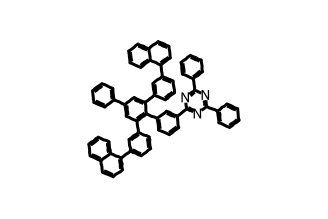 c1ccc(-c2cc(-c3cccc(-c4cccc5ccccc45)c3)c(-c3cccc(-c4nc(-c5ccccc5)nc(-c5ccccc5)n4)c3)c(-c3cccc(-c4cccc5ccccc45)c3)c2)cc1